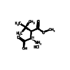 COC(=O)C([C@H](N)C(=O)O)C(C)(C)C.Cl